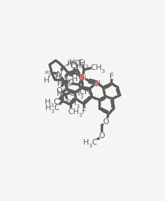 COCOc1cc(-c2c(Cl)c3c4c(nc(C)c(C)c4c2F)N2C[C@H]4CC[C@@H]([C@H]2[C@H](C)O3)N4C(=O)OC(C)(C)C)c2c(C#C[Si](C(C)C)(C(C)C)C(C)C)c(F)ccc2c1